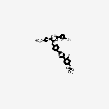 CC(C)(C)c1ccc(C(=O)N[C@@H](Cc2ccc(-c3ncc(-c4ccc(OS(=O)(=O)C(F)(F)F)cc4F)cn3)cc2)C(=O)N2CC(C(=O)O)C2)s1